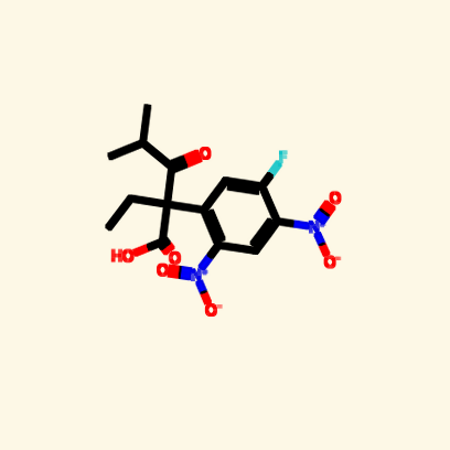 CCC(C(=O)O)(C(=O)C(C)C)c1cc(F)c([N+](=O)[O-])cc1[N+](=O)[O-]